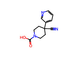 N#CC1(c2cccnc2)CCN(C(=O)O)CC1